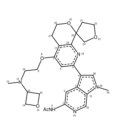 CC(=O)Nc1cc2c(-c3cc(OCCN(C)C4COC4)c4c(n3)C3(CCOC3)OCC4)cn(C)c2cn1